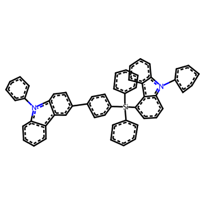 c1ccc(-n2c3ccccc3c3cc(-c4ccc([Si](c5ccccc5)(c5ccccc5)c5cccc6c5c5ccccc5n6-c5ccccc5)cc4)ccc32)cc1